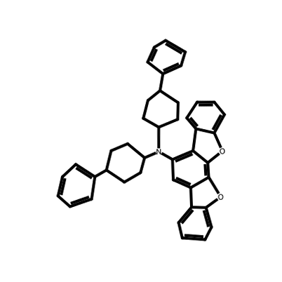 c1ccc(C2CCC(N(c3cc4c5ccccc5oc4c4oc5ccccc5c34)C3CCC(c4ccccc4)CC3)CC2)cc1